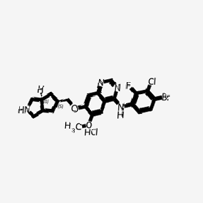 COc1cc2c(Nc3ccc(Br)c(Cl)c3F)ncnc2cc1OC[C@H]1CC2CNC[C@H]2C1.Cl